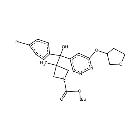 CC(C)c1ccc(C(O)(c2cnnc(OC3CCOC3)c2)C2(C)CN(C(=O)OC(C)(C)C)C2)cc1